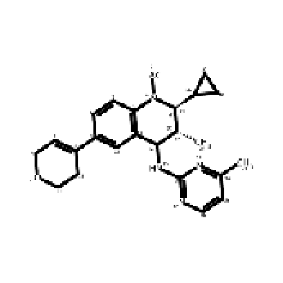 CC(=O)N1c2ccc(C3=CCOCC3)cc2C(Nc2nccc(C)n2)[C@@H](C)[C@@H]1C1CC1